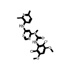 COc1cc(OC)c(Cl)c(NC(=O)N(C)c2cc(Nc3ccc(C)nc3C)ncn2)c1Cl